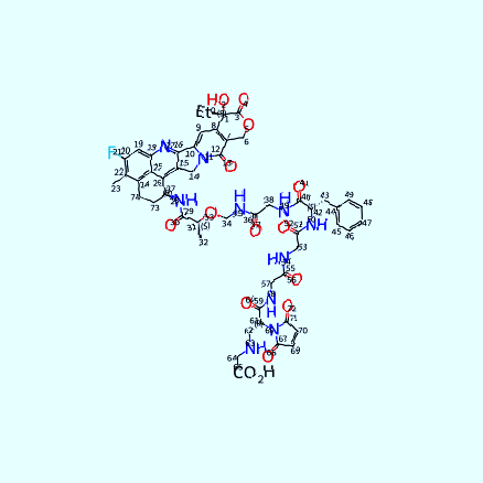 CC[C@@]1(O)C(=O)OCc2c1cc1n(c2=O)Cc2c-1nc1cc(F)c(C)c3c1c2[C@@H](NC(=O)[C@H](C)OCNC(=O)CNC(=O)[C@H](Cc1ccccc1)NC(=O)CNC(=O)CNC(=O)[C@@H](CNCC(=O)O)N1C(=O)C=CC1=O)CC3